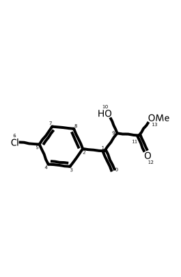 C=C(c1ccc(Cl)cc1)C(O)C(=O)OC